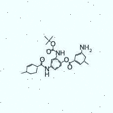 CC1C=CC(C(=O)Nc2ccc(OC(=O)C3=CC(C)CC(N)=C3)c(NC(=O)OC(C)(C)C)c2)CC1